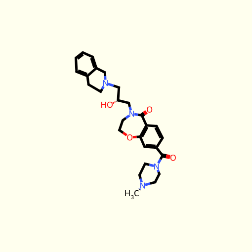 CN1CCN(C(=O)c2ccc3c(c2)OCCN(C[C@H](O)CN2CCc4ccccc4C2)C3=O)CC1